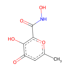 Cc1cc(=O)c(O)c(C(=O)NO)o1